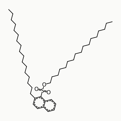 CCCCCCCCCCCCCCCCCOS(=O)(=O)c1c(CCCCCCCCCCCCCCCCC)ccc2ccccc12